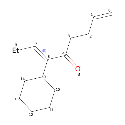 C=CCCC(=O)/C(=C/CC)C1CCCCC1